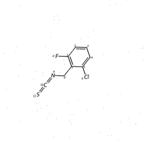 Fc1cccc(Cl)c1CN=C=S